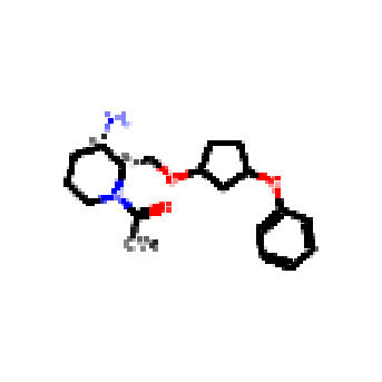 COC(=O)N1CCC[C@H](N)[C@@H]1COC1CCC(Oc2ccccc2)C1